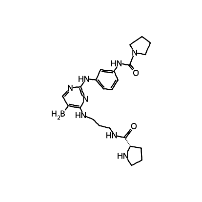 Bc1cnc(Nc2cccc(NC(=O)N3CCCC3)c2)nc1NCCCNC(=O)[C@@H]1CCCN1